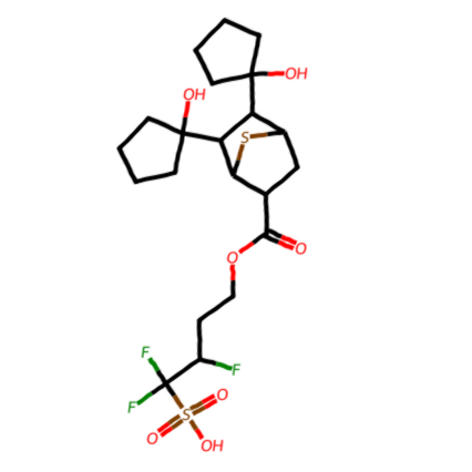 O=C(OCCC(F)C(F)(F)S(=O)(=O)O)C1CC2SC1C(C1(O)CCCC1)C2C1(O)CCCC1